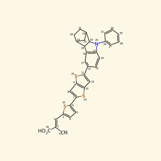 N#C/C(=C\c1ccc(-c2cc3sc(-c4ccc5c(c4)C4C6CCC(C6)C4N5c4ccccc4)cc3s2)s1)C(=O)O